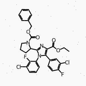 CCOC(=O)c1nc(C2CCCN2C(=O)OCc2ccccc2)n(-c2cccc(Cl)c2F)c1-c1ccc(F)c(Cl)c1